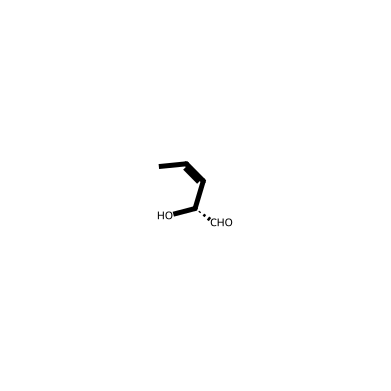 C/C=C\[C@@H](O)C=O